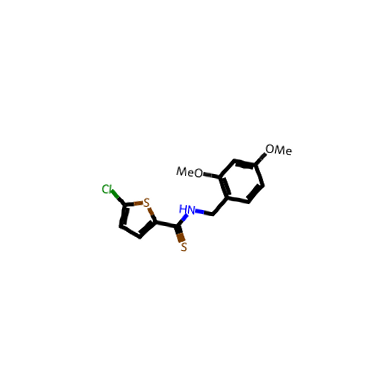 COc1ccc(CNC(=S)c2ccc(Cl)s2)c(OC)c1